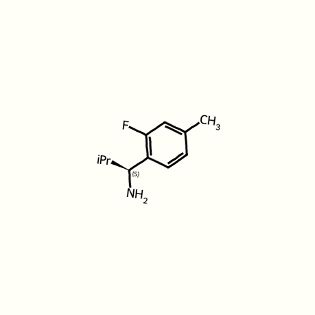 Cc1ccc([C@@H](N)C(C)C)c(F)c1